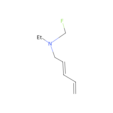 C=C/C=C/CN(CC)CF